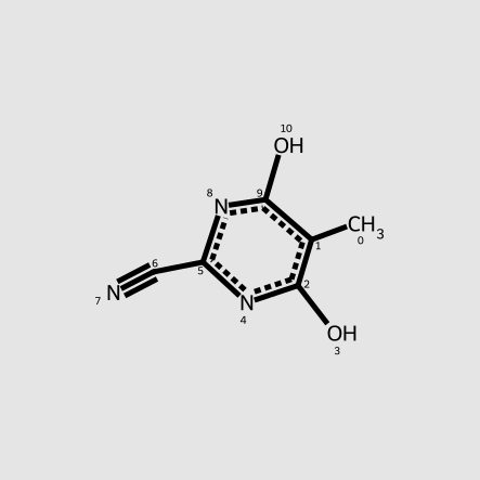 Cc1c(O)nc(C#N)nc1O